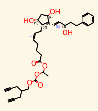 C#CCC(CC#C)COC(=O)OC(C)OC(=O)CCC/C=C\C[C@@H]1[C@@H](/C=C/[C@@H](O)CCc2ccccc2)[C@H](O)C[C@@H]1O